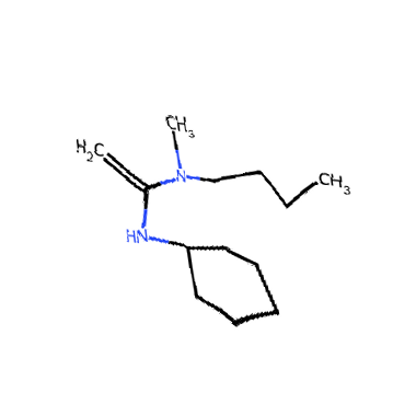 C=C(NC1CCCCC1)N(C)CCCC